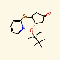 CC(C)(C)[Si](C)(C)O[C@H]1CC(=O)C[C@@H]1Sc1ccccn1